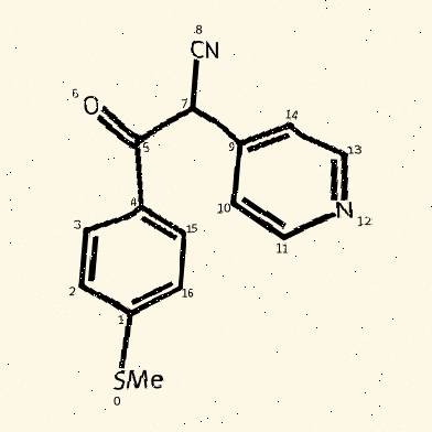 CSc1ccc(C(=O)C(C#N)c2ccncc2)cc1